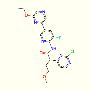 CCOc1cncc(-c2cnc(NC(=O)C(CCOC)c3ccnc(Cl)n3)c(F)c2)n1